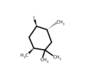 C[C@@H]1CC(C)(C)[C@@H](C)C[C@H]1I